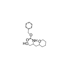 O=C(NC(CO)CC1CCCCO1)OCc1ccccc1